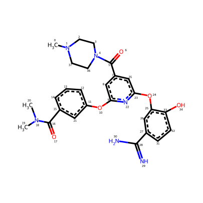 CN1CCN(C(=O)c2cc(Oc3cccc(C(=O)N(C)C)c3)nc(Oc3cc(C(=N)N)ccc3O)c2)CC1